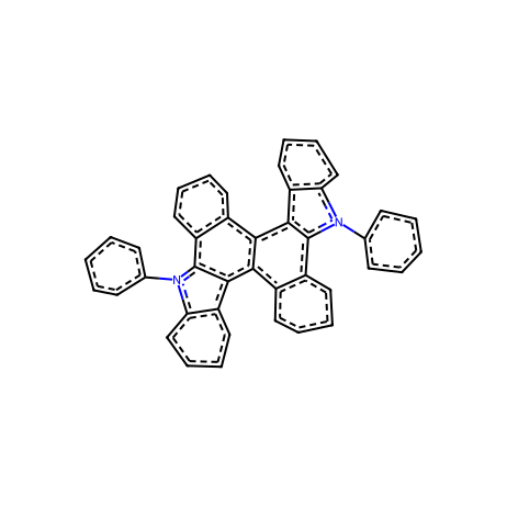 c1ccc(-n2c3ccccc3c3c4c5ccccc5c5c(c6ccccc6n5-c5ccccc5)c4c4ccccc4c32)cc1